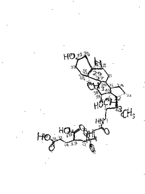 C[C@H](CCNC(=O)CCP(=O)(O)CC(CCC(=O)O)C(=O)O)[C@H]1CCC2C3CC[C@@H]4C[C@H](O)CC[C@]4(C)C3C[C@H](O)[C@@]21C